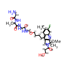 COC1(C)c2nc3cc(F)c(C)cc3c(CCCCOCNC(=O)CNC(=O)[C@H](C)NC(=O)CN)c2CN1C(=O)CCO